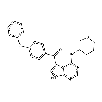 O=C(c1ccc(Oc2ccccc2)cc1)c1c[nH]c2ncnc(NC3CCCOC3)c12